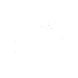 CCCCC/C=C\C/C=C\CCCCCCCC(=O)n1cc(C2CCNCC2)c2cc(OC)ccc21